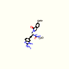 COc1ccc2c(c1)C(=O)N(C[C@@H](C#Cc1ccc3nc(N)[nH]c3c1)NC(=O)NC=O)C2